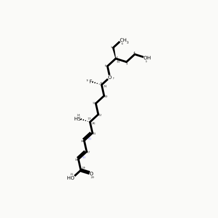 CC[C@@H](CCO)CO[C@@H](F)CCC[C@@H](S)/C=C/C=C/C(=O)O